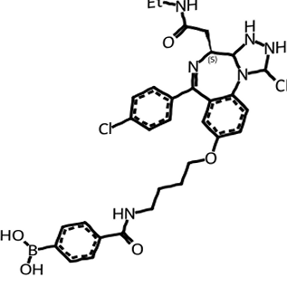 CCNC(=O)C[C@@H]1N=C(c2ccc(Cl)cc2)c2cc(OCCCCNC(=O)c3ccc(B(O)O)cc3)ccc2N2C(C)NNC12